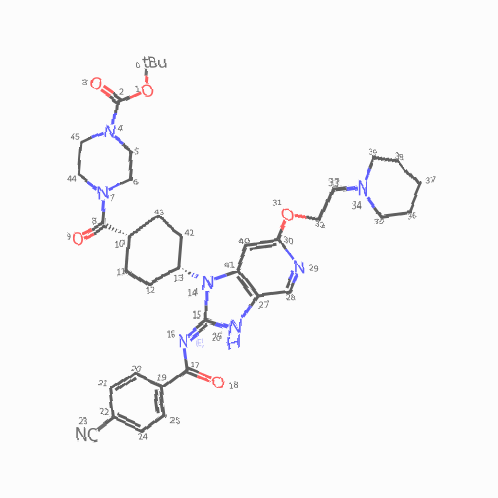 CC(C)(C)OC(=O)N1CCN(C(=O)[C@H]2CC[C@@H](n3/c(=N/C(=O)c4ccc(C#N)cc4)[nH]c4cnc(OCCN5CCCCC5)cc43)CC2)CC1